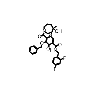 CC1(O)CCCN2CC1n1cc(C(=O)NCc3ccc(F)cc3F)c(=O)c(OCc3ccccc3)c1C2=O